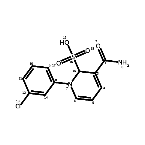 NC(=O)C1=CC=CN(c2cccc(Cl)c2)C1S(=O)(=O)O